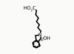 O=C(O)CCCCCCCN1Cc2ccccc2[C@H]1O